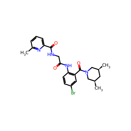 Cc1cccc(C(=O)NCC(=O)Nc2ccc(Br)cc2C(=O)N2C[C@H](C)C[C@H](C)C2)n1